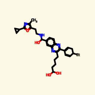 CCC1C=CC(c2nc3ccc(C(O)NCCc4oc(C5CC5)nc4C)cc3nc2CCCCC(O)O)=CC1